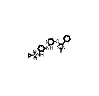 Cc1nc(-c2ccccc2)c(Oc2ccnc(Nc3cccc(NS(=O)(=O)C4CC4)c3)c2)s1